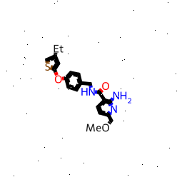 CCc1csc(Oc2ccc(CNC(=O)c3ccc(COC)nc3N)cc2)c1